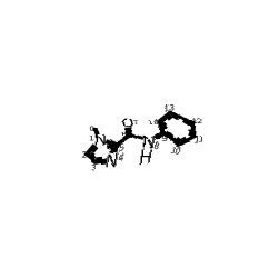 Cn1ccnc1C(=O)Nc1ccccc1